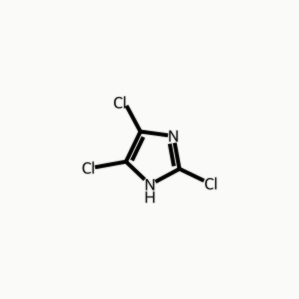 Clc1nc(Cl)c(Cl)[nH]1